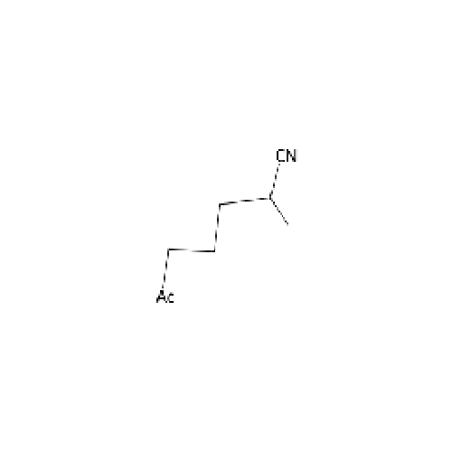 CC(=O)CCCC(C)C#N